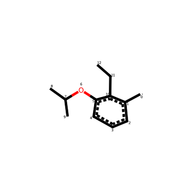 [CH2]c1cccc(OC(C)C)c1CC